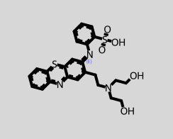 O=S(=O)(O)c1ccccc1/N=c1\cc2sc3ccccc3nc-2cc1CCN(CCO)CCO